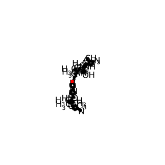 COc1cc(C#N)ccc1[C@H](C)NC(=O)[C@@H]1C[C@@H](O)CN1C(=O)[C@@H](NC(=O)CCCCN1CCN(c2ccc(C(=O)N[C@H]3C(C)(C)[C@H](Oc4ccc(C#N)c(Cl)c4)C3(C)C)cn2)CC1)C(C)(C)C